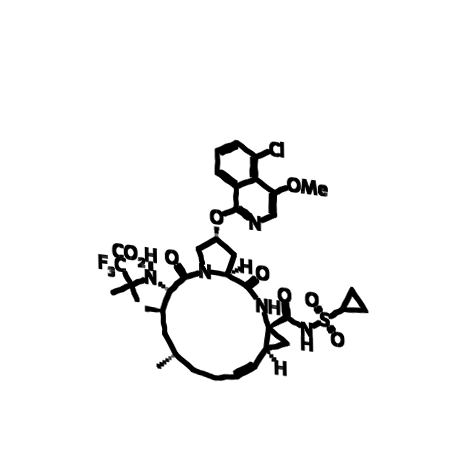 COc1cnc(O[C@@H]2C[C@H]3C(=O)N[C@]4(C(=O)NS(=O)(=O)C5CC5)C[C@H]4C=CCC[C@H](C)C[C@@H](C)[C@H](N(C(=O)O)C(C)(C)C(F)(F)F)C(=O)N3C2)c2cccc(Cl)c12